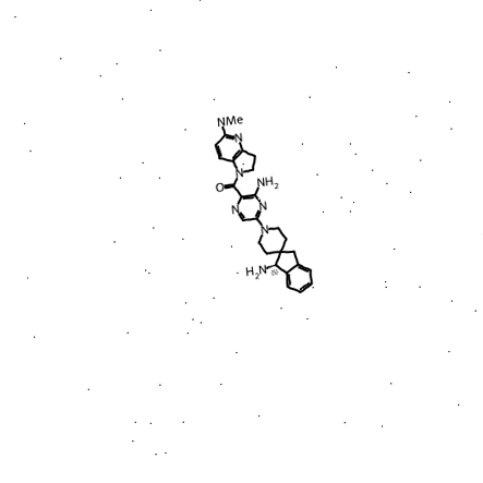 CNc1ccc2c(n1)CCN2C(=O)c1ncc(N2CCC3(CC2)Cc2ccccc2[C@H]3N)nc1N